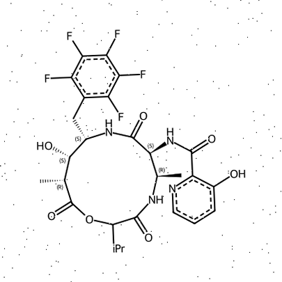 CC(C)C1OC(=O)[C@H](C)[C@H](O)[C@H](Cc2c(F)c(F)c(F)c(F)c2F)NC(=O)[C@@H](NC(=O)c2ncccc2O)[C@@H](C)NC1=O